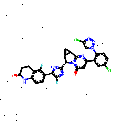 O=C1CCc2c(ccc(-c3[nH]c(C4C5=CC5c5nc(-c6cc(Cl)ccc6-n6cc(Cl)nn6)cc(=O)n54)nc3F)c2F)N1